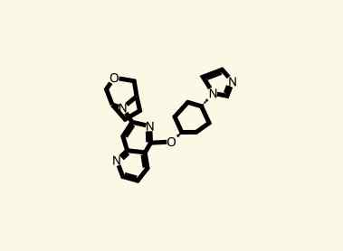 c1cnc2cc(N3C4CCC3COC4)nc(O[C@H]3CC[C@@H](n4ccnc4)CC3)c2c1